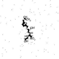 CN(C)Cc1ccc(CSCCNC(=C[N+](=O)[O-])NCCO)o1.Cl